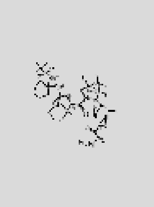 CC[C@@H]1C[C@@]1(NC(=O)[C@@H]1[C@@H]2[C@H](CN1C(=O)[C@@H](NC(=O)NC1([C@@H](C)S(=O)(=O)C(C)(C)C)CCCCC1)C1(C)CCCCC1)C2(C)C)C(=O)C(N)=O